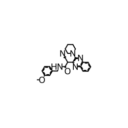 COc1cccc(CNC(=O)C(C#N)c2nc3ccccc3nc2N2CCCCC2)c1